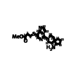 COC(=O)CCSc1cnc(N2CCC3(CCC[C@H]3N)CC2)n2ccnc12